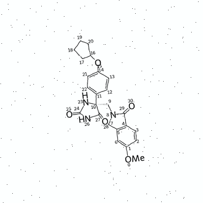 COc1ccc2c(c1)CN(C[C@@]1(c3ccc(OC4CCCC4)cc3)NC(=O)NC1=O)C2=O